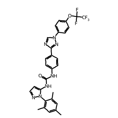 Cc1cc(C)c(-n2nccc2NC(=O)Nc2ccc(-c3ncn(-c4ccc(OC(F)(F)C(F)(F)F)cc4)n3)cc2)c(C)c1